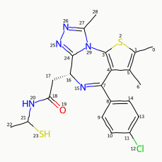 Cc1sc2c(c1C)C(c1ccc(Cl)cc1)=N[C@H](CC(=O)NC(C)S)c1nnc(C)n1-2